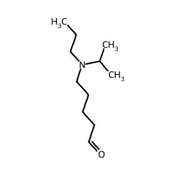 CCCN(CCCCC=O)C(C)C